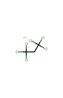 ClC(Cl)(Cl)CC(Cl)(Cl)Cl.F